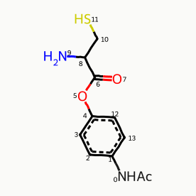 CC(=O)Nc1ccc(OC(=O)C(N)CS)cc1